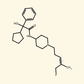 C/C(=C/CCN1CCC(NC(=O)C(O)(c2ccccc2)C2CCCC2)CC1)CF